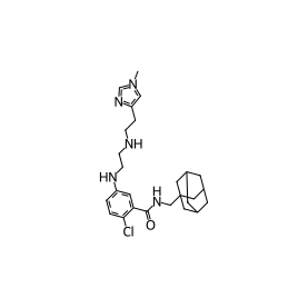 Cn1cnc(CCNCCNc2ccc(Cl)c(C(=O)NCC34CC5CC(CC(C5)C3)C4)c2)c1